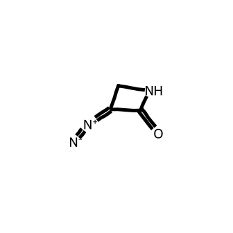 [N-]=[N+]=C1CNC1=O